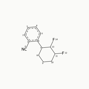 N#Cc1ccccc1C1CCCC(F)C1F